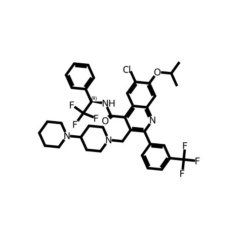 CC(C)Oc1cc2nc(-c3cccc(C(F)(F)F)c3)c(CN3CCC(N4CCCCC4)CC3)c(C(=O)N[C@H](c3ccccc3)C(F)(F)F)c2cc1Cl